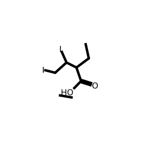 CC.CCC(C(=O)O)C(I)CI